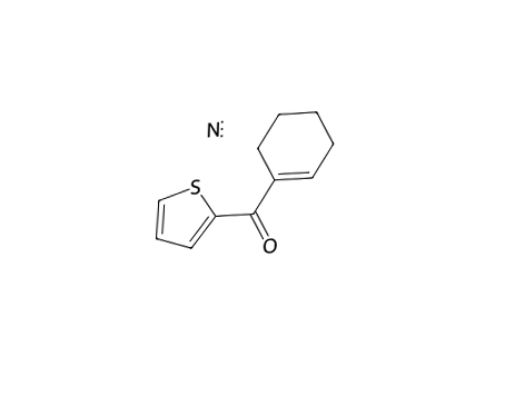 O=C(C1=CCCCC1)c1cccs1.[N]